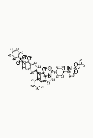 CC(C)(C)OC(=O)N[C@H](CF)C1CCC(C(=O)N2CC[C@@H](C3CCCCC3)[C@H]2C(=O)Nc2ccc(C(=O)NS(=O)(=O)c3ccccc3)cc2)CC1